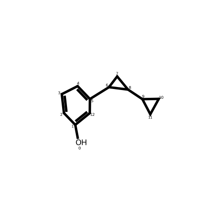 Oc1cccc(C2CC2C2CC2)c1